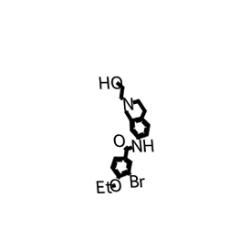 CCOc1ccc(C(=O)Nc2ccc3c(c2)CN(CCO)CC3)cc1Br